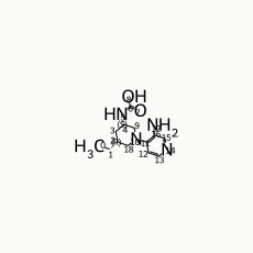 CC[C@@H]1C[C@H](NC(=O)O)CN(c2ccncc2N)C1